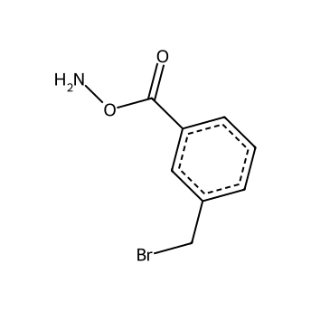 NOC(=O)c1cccc(CBr)c1